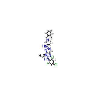 Cn1c(Nc2c(F)cc(Cl)cc2Cl)nc2cnc(N[C@@H]3CCCN(Cc4ccccc4)C3)nc21